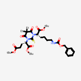 CCC1(CC)C(=O)N([C@@H](CCCCNC(=O)OCc2ccccc2)C(=O)OC(C)(C)C)C(=S)N([C@@H](CCC(=O)OC(C)(C)C)C(=O)OC(C)(C)C)C1=O